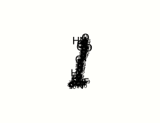 C[C@@H]1Cc2c([nH]c3ccccc23)[C@@H](c2ccc(C3CCC4(CC3)CCN(C(=O)CN3Cc5cc6c(cc5C3)C(=O)N(C3CCC(=O)NC3=O)C6=O)CC4)cc2F)N1CC(F)F